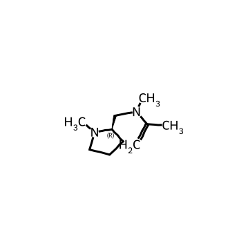 C=C(C)N(C)C[C@H]1CCCN1C